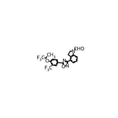 CC(Oc1ccc(-c2nc(-c3cccc4c3CCN4C=O)no2)cc1C(F)(F)F)C(F)(F)F